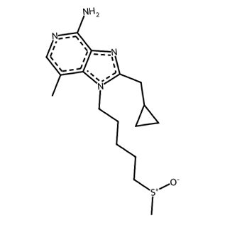 Cc1cnc(N)c2nc(CC3CC3)n(CCCCC[S+](C)[O-])c12